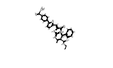 CCOC(=O)C1=C(C)N=c2s/c(=C\c3ccc(-c4ccc(C(=O)O)cc4)o3)c(=O)n2C1c1ccccc1